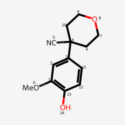 COc1cc(C2(C#N)CCOCC2)ccc1O